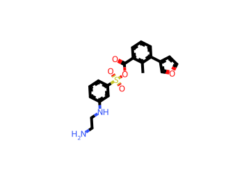 Cc1c(C(=O)OS(=O)(=O)c2cccc(NCCN)c2)cccc1-c1ccoc1